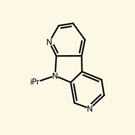 CC(C)n1c2cnccc2c2cccnc21